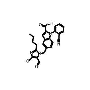 CCCCc1nc(Cl)c(C=O)n1Cc1ccc2c(c1)cc(C(=O)O)n2-c1ccccc1C#N